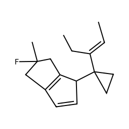 C/C=C(\CC)C1(C2C=CC3=C2CC(C)(F)C3)CC1